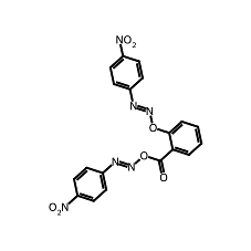 O=C(ON=Nc1ccc([N+](=O)[O-])cc1)c1ccccc1ON=Nc1ccc([N+](=O)[O-])cc1